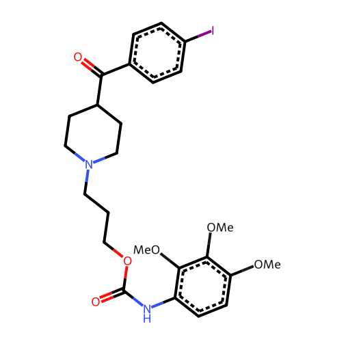 COc1ccc(NC(=O)OCCCN2CCC(C(=O)c3ccc(I)cc3)CC2)c(OC)c1OC